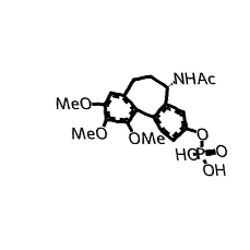 COc1cc2c(c(OC)c1OC)-c1ccc(OP(=O)(O)O)cc1[C@@H](NC(C)=O)CC2